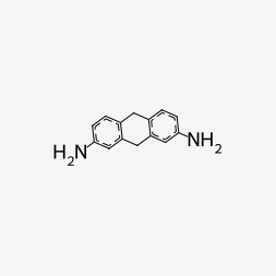 Nc1ccc2c(c1)Cc1cc(N)ccc1C2